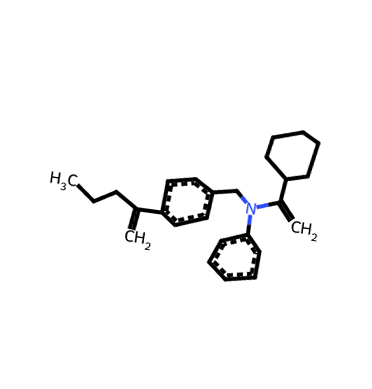 C=C(CCC)c1ccc(CN(C(=C)C2CCCCC2)c2ccccc2)cc1